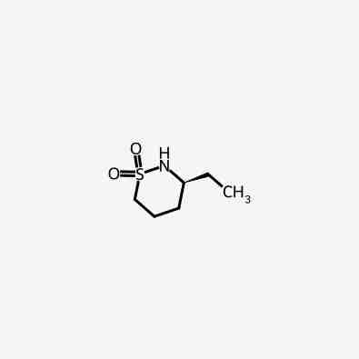 CC[C@H]1CCCS(=O)(=O)N1